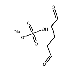 O=CCCCC=O.O=S(=O)([O-])O.[Na+]